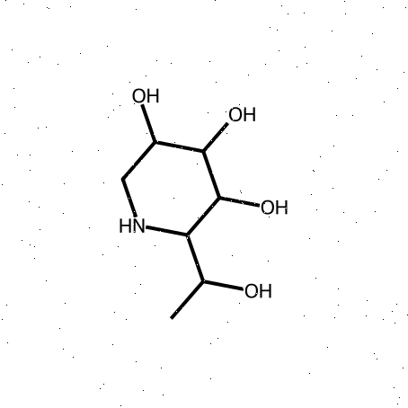 CC(O)C1NCC(O)C(O)C1O